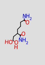 NC(=O)CCCC(CC(O)O)C(N)=O